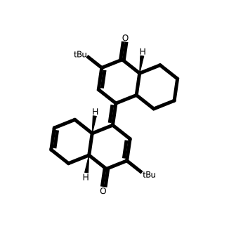 CC(C)(C)C1=C/C(=C2/C=C(C(C)(C)C)C(=O)[C@@H]3CC=CC[C@H]23)C2CCCC[C@H]2C1=O